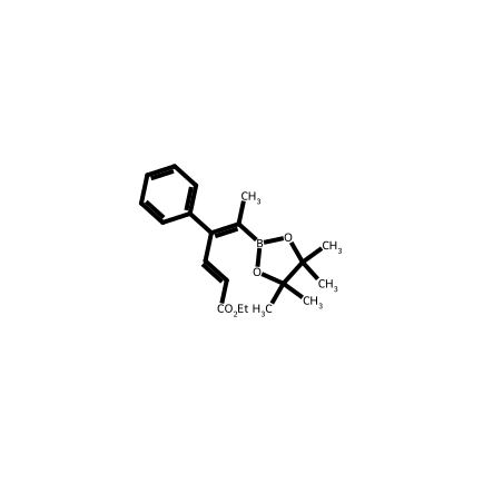 CCOC(=O)C=CC(=C(C)B1OC(C)(C)C(C)(C)O1)c1ccccc1